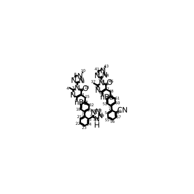 CCCCc1nc(C)n(-c2ncn(C)n2)c(=O)c1Cc1ccc(-c2ccccc2-c2nnn[nH]2)cc1.CCCCc1nc(C)n(-c2ncn(C)n2)c(=O)c1Cc1ccc(-c2ccccc2C#N)cc1